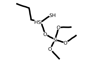 CCC[SiH](S)O[Si](OC)(OC)OC